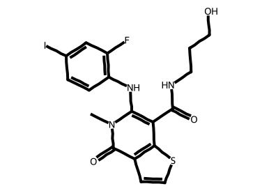 Cn1c(Nc2ccc(I)cc2F)c(C(=O)NCCCO)c2sccc2c1=O